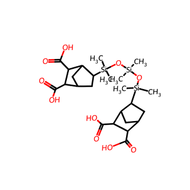 C[Si](C)(O[Si](C)(C)C1CC2CC1C(C(=O)O)C2C(=O)O)O[Si](C)(C)C1CC2CC1C(C(=O)O)C2C(=O)O